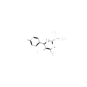 Cc1c(-c2ccc(F)cc2)nc([S+](C)[O-])nc1C(C)C